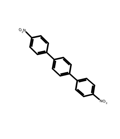 O=[N+]([O-])c1ccc(-c2ccc(-c3ccc([N+](=O)[O-])cc3)cc2)cc1